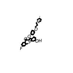 Cc1cc(F)ccc1C(=O)c1sc2cc(O)ccc2c1Oc1ccc(OCCCN2CC[C@@H](C)C2)cc1